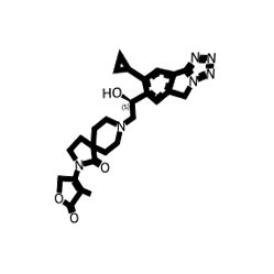 CC1=C(N2CCC3(CCN(C[C@@H](O)c4cc5c(cc4C4CC4)-c4nnnn4C5)CC3)C2=O)COC1=O